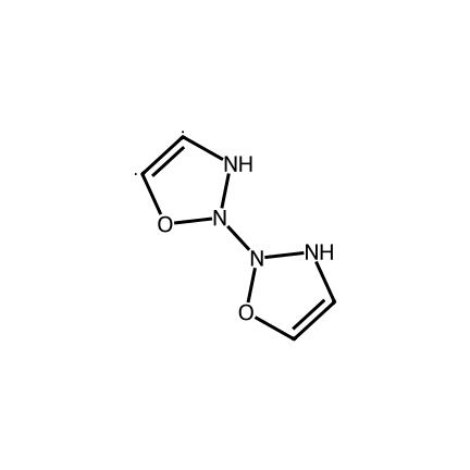 [C]1=[C]ON(N2NC=CO2)N1